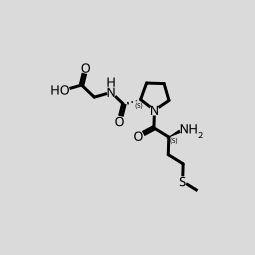 CSCC[C@H](N)C(=O)N1CCC[C@H]1C(=O)NCC(=O)O